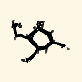 Cl.NCc1ncc(F)cc1F